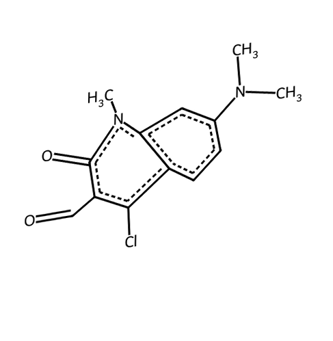 CN(C)c1ccc2c(Cl)c(C=O)c(=O)n(C)c2c1